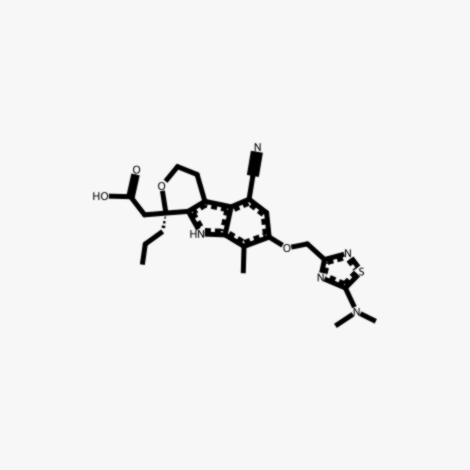 CCC[C@]1(CC(=O)O)OCCc2c1[nH]c1c(C)c(OCc3nsc(N(C)C)n3)cc(C#N)c21